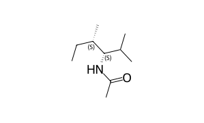 CC[C@H](C)[C@@H](NC(C)=O)C(C)C